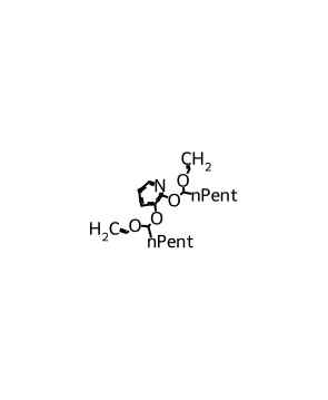 C=COC(CCCCC)Oc1cccnc1OC(CCCCC)OC=C